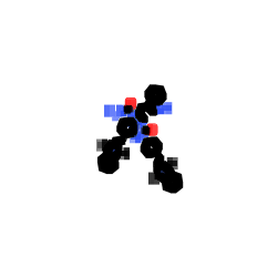 NC(=O)N(C(CNC(=O)N[C@H]1CC[C@H](CCN2[C@@H]3CC[C@H]2c2ccccc23)CC1)Cc1c[nH]c2ccccc12)[C@H]1CC[C@H](CCN2[C@@H]3CC[C@H]2c2ccccc23)CC1